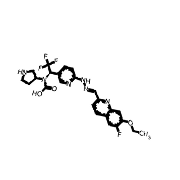 CCOc1cc2nc(/C=N/Nc3ccc([C@@H](N(C(=O)O)C4CCNC4)C(F)(F)F)cn3)ccc2cc1F